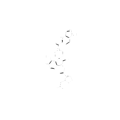 Cc1c(F)ccc2c1C1(CCN(C(=O)c3ccc4[nH]ncc4n3)CC1)C(=O)N2CC(=O)N1CCCC1CC(F)F